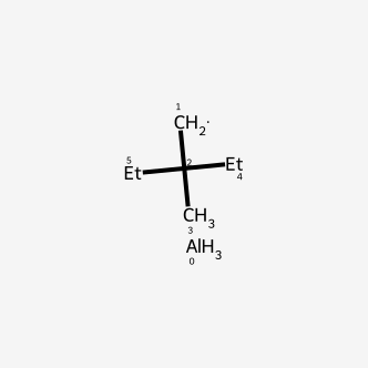 [AlH3].[CH2]C(C)(CC)CC